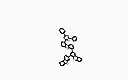 c1ccc(-c2nc(-c3ccccc3)nc(-c3cccc4sc5c(-c6cc(-c7ccc8c(c7)oc7ccccc78)c7oc8ccccc8c7c6)cccc5c34)n2)cc1